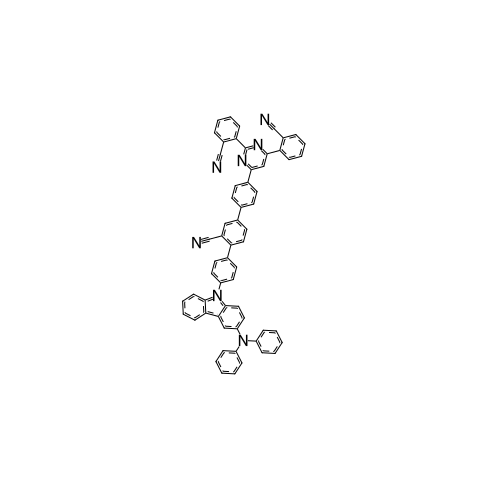 N#Cc1cc(-c2ccc(-c3cc(-c4ccccc4C#N)nc(-c4ccccc4C#N)n3)cc2)ccc1-c1ccc(-n2c3ccccc3c3cc(N(c4ccccc4)c4ccccc4)ccc32)cc1